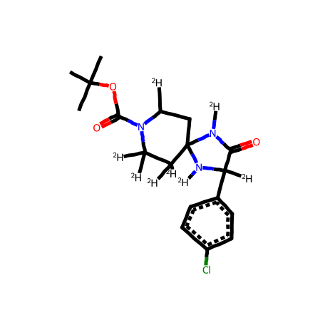 [2H]C1CC2(N([2H])C(=O)C([2H])(c3ccc(Cl)cc3)N2[2H])C([2H])([2H])C([2H])([2H])N1C(=O)OC(C)(C)C